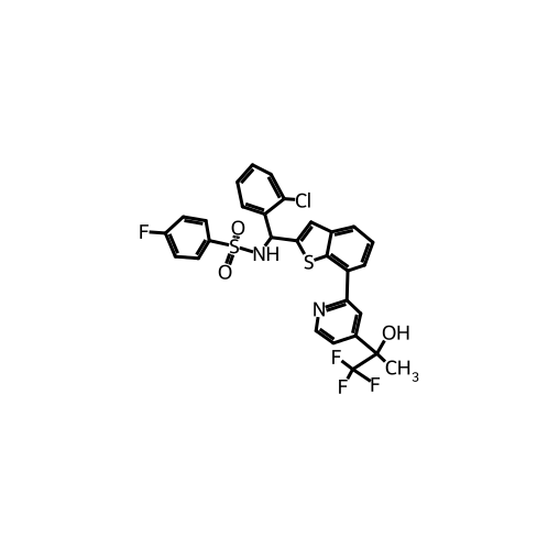 CC(O)(c1ccnc(-c2cccc3cc(C(NS(=O)(=O)c4ccc(F)cc4)c4ccccc4Cl)sc23)c1)C(F)(F)F